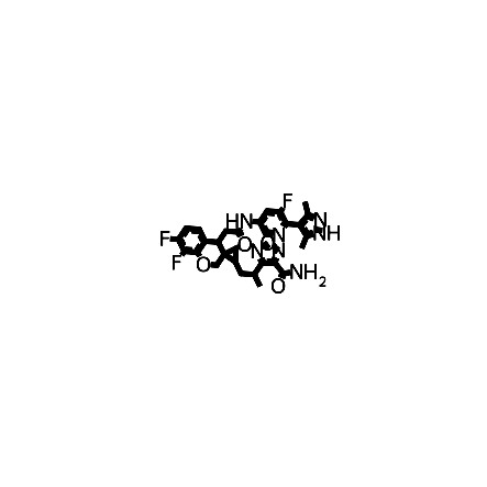 Cc1n[nH]c(C)c1-c1ncc(NC(=O)CC2c3ccc(F)c(F)c3OCC23CC3CC(C)c2nonc2C(N)=O)cc1F